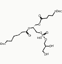 CCCCCCCCCCCCCCCC(=O)O[C@H](COC(=O)CCCCCCCCCCCCC)COP(=O)(O)OCC(O)CO